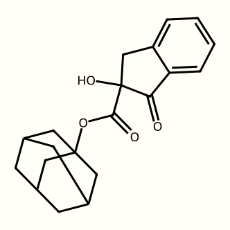 O=C(OC12CC3CC(CC(C3)C1)C2)C1(O)Cc2ccccc2C1=O